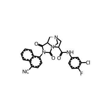 N#Cc1ccc(N2C(=O)C3C[N@]4CC(C(=O)Nc5ccc(F)c(Cl)c5)[N+]3(C4)C2=O)c2ccccc12